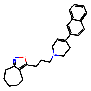 C1=C(c2ccc3ccccc3c2)CCN(CCCc2onc3c2CCCCC3)C1